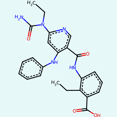 CCc1c(NC(=O)c2cnc(N(CC)C(N)=O)cc2Nc2ccccc2)cccc1C(=O)O